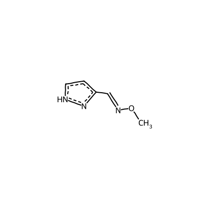 CON=Cc1cc[nH]n1